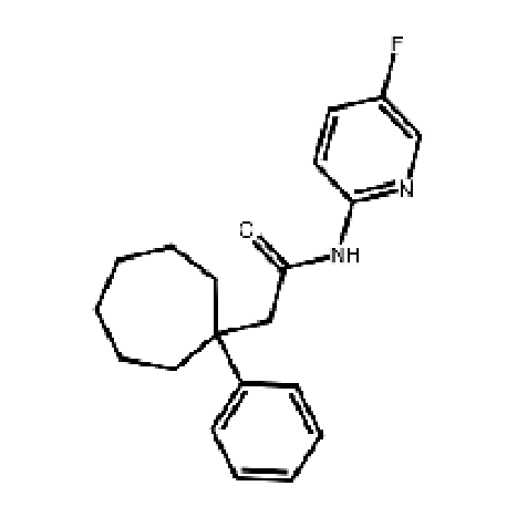 O=C(CC1(c2ccccc2)CCCCCC1)Nc1ccc(F)cn1